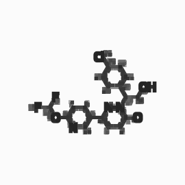 O=c1ccc(-c2ccc(OC(F)F)nc2)nn1C(CO)c1ccc(Cl)cc1